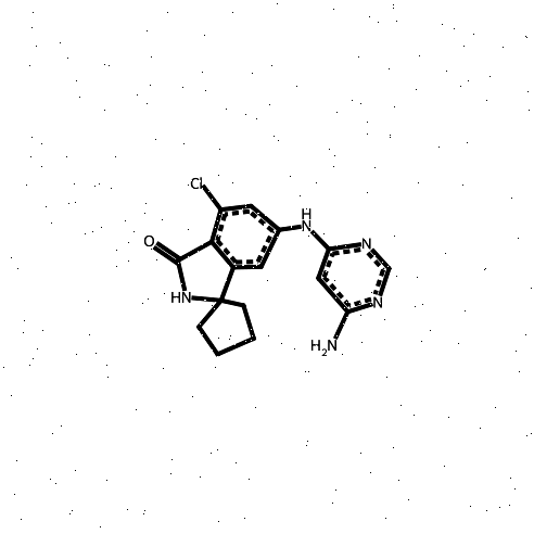 Nc1cc(Nc2cc(Cl)c3c(c2)C2(CCCC2)NC3=O)ncn1